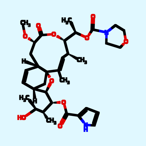 CO[C@H]1C[C@H]2C=C[C@@H]3C[C@]2(O[C@H]3[C@H](OC(=O)c2ccc[nH]2)[C@H](C)[C@H](C)O)/C(C)=C/[C@@H](C)[C@@H]([C@@H](C)OC(=O)N2CCOCC2)OC1=O